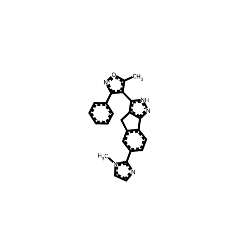 Cc1onc(-c2ccccc2)c1-c1[nH]nc2c1Cc1cc(-c3nccn3C)ccc1-2